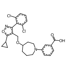 O=C(O)c1cccc(N2CCCC(OCc3c(-c4c(Cl)cccc4Cl)noc3C3CC3)CC2)c1